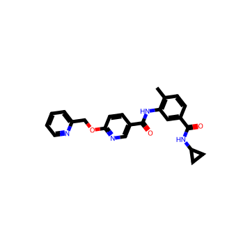 Cc1ccc(C(=O)NC2CC2)cc1NC(=O)c1ccc(OCc2ccccn2)nc1